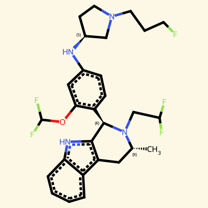 C[C@@H]1Cc2c([nH]c3ccccc23)[C@@H](c2ccc(N[C@H]3CCN(CCCF)C3)cc2OC(F)F)N1CC(F)F